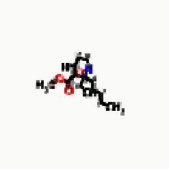 CCCCCC1(CC)C(C(=O)OC)[C@@H]2CC[N@@]1O2